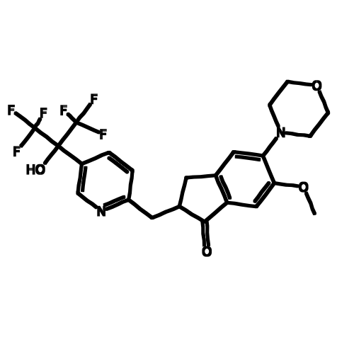 COc1cc2c(cc1N1CCOCC1)CC(Cc1ccc(C(O)(C(F)(F)F)C(F)(F)F)cn1)C2=O